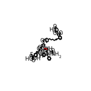 CCCC[C@H](NC(=O)c1cc2cc(C(F)(F)P(=O)(O)O)ccc2[nH]1)C(=O)N1C[C@H](C(=O)N2CCC(CCCCC#Cc3cccc4c3CN(C3CCC(=O)NC3=O)C4=O)CC2)C[C@H]1C(=O)N[C@H](CCC(N)=O)C(=O)NC(c1ccccc1)c1ccccc1